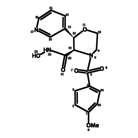 COc1ccc(S(=O)(=O)N2CCO[C@@H](c3cccnc3)[C@@H]2C(=O)NO)cc1